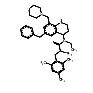 CCN(C(=O)C(N)Cc1c(C)cc(C)cc1C)C1CCNc2c(CN3CCOCC3)cc(Cc3ccccc3)cc21